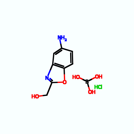 Cl.Nc1ccc2oc(CO)nc2c1.OB(O)O